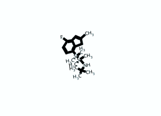 CC1=Cc2c(F)ccc([Si](C)(C)[Si](C)(C)NC(C)(C)C)c2C1